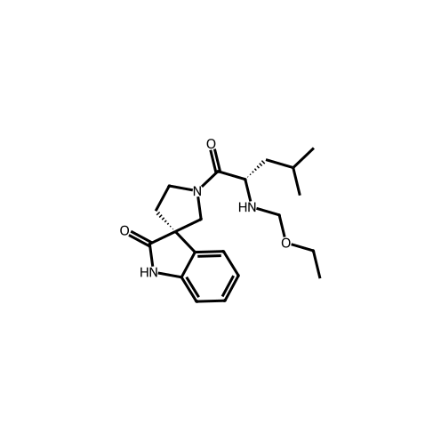 CCOCN[C@@H](CC(C)C)C(=O)N1CC[C@@]2(C1)C(=O)Nc1ccccc12